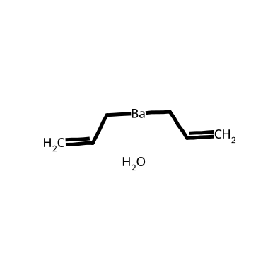 C=C[CH2][Ba][CH2]C=C.O